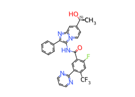 C[C@H](O)c1ccn2c(NC(=O)c3cc(-c4ncccn4)c(C(F)(F)F)cc3F)c(-c3ccccc3)nc2c1